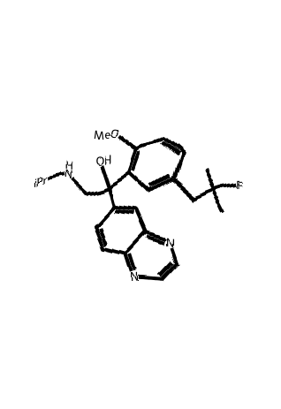 COc1ccc(CC(C)(C)F)cc1C(O)(CNC(C)C)c1ccc2nccnc2c1